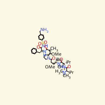 CC[C@H](C)[C@@H]([C@@H](CC(=O)N1CCC[C@H]1[C@H](OC)[C@@H](C)C(=O)N[C@@H](Cc1ccccc1)C(=O)NS(=O)(=O)c1ccc(CN)cc1)OC)N(C)C(=O)[C@@H](NC(=O)C(C(C)C)N(C)C)C(C)C